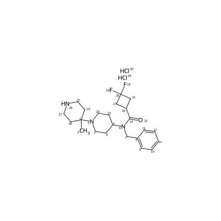 CC1(N2CCC(N(Cc3ccccc3)C(=O)C3CC(F)(F)C3)CC2)CCNCC1.Cl.Cl